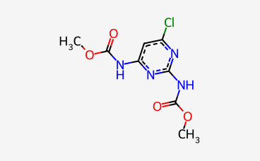 COC(=O)Nc1cc(Cl)nc(NC(=O)OC)n1